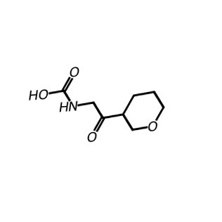 O=C(O)NCC(=O)C1CCCOC1